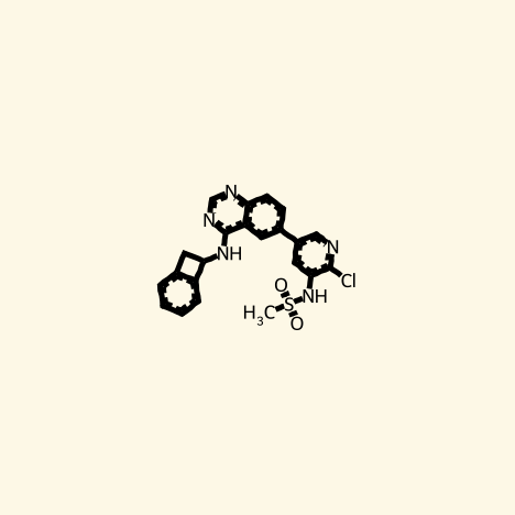 CS(=O)(=O)Nc1cc(-c2ccc3ncnc(NC4Cc5ccccc54)c3c2)cnc1Cl